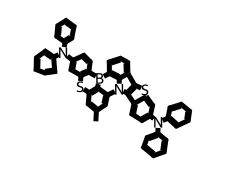 Cc1cc2c3c(c1)-n1c4c(cccc4c4sc5cc(N(c6ccccc6)c6ccccc6)ccc5c41)B3c1ccc(N(c3ccccc3)c3ccccc3)cc1S2